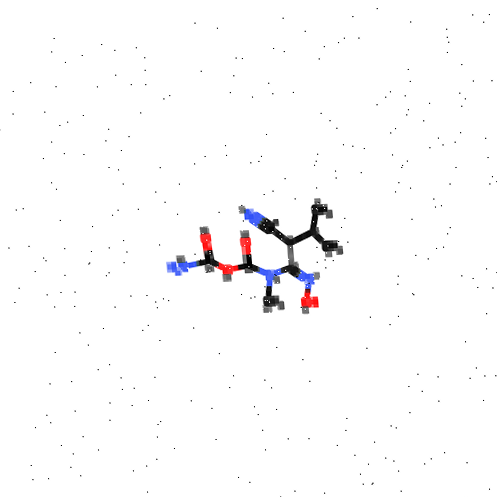 CC(C)C(C#N)C(=NO)N(C)C(=O)OC(N)=O